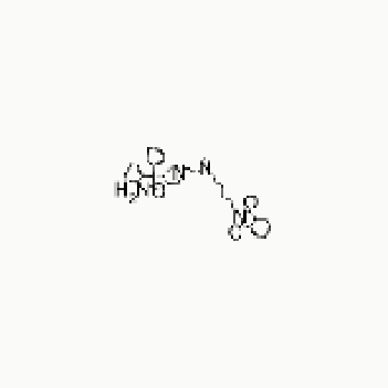 CN(CCCCCCN1C(=O)c2ccccc2C1=O)CCN1CC[C@H](C(C(N)=O)(c2ccccc2)c2ccccc2)C1